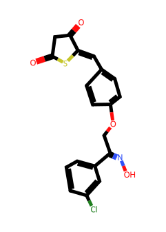 O=C1CC(=O)/C(=C/c2ccc(OCC(=NO)c3cccc(Cl)c3)cc2)S1